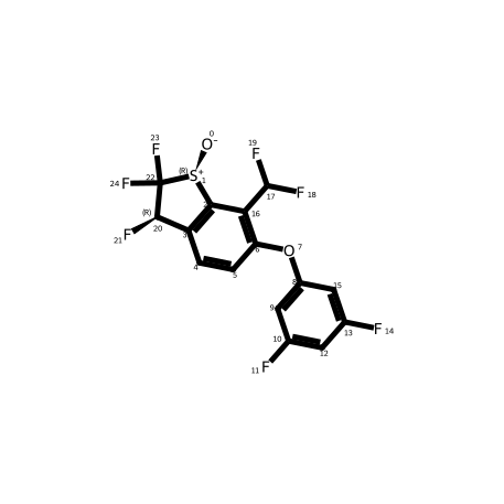 [O-][S@@+]1c2c(ccc(Oc3cc(F)cc(F)c3)c2C(F)F)[C@@H](F)C1(F)F